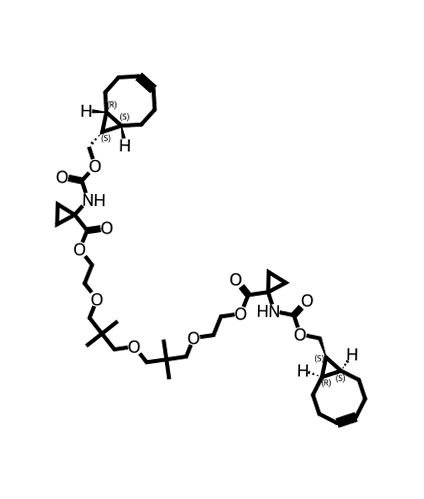 CC(C)(COCCOC(=O)C1(NC(=O)OC[C@@H]2[C@@H]3CCC#CCC[C@@H]32)CC1)COCC(C)(C)COCCOC(=O)C1(NC(=O)OC[C@@H]2[C@@H]3CCC#CCC[C@@H]32)CC1